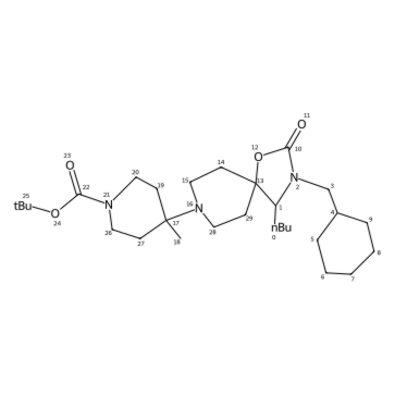 CCCCC1N(CC2CCCCC2)C(=O)OC12CCN(C1(C)CCN(C(=O)OC(C)(C)C)CC1)CC2